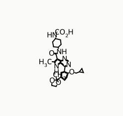 Cc1[nH]c2c(-c3cc(C4(C)OCCO4)ccc3OCC3CC3)ncnc2c1C(=O)NC1CCC(NC(=O)O)CC1